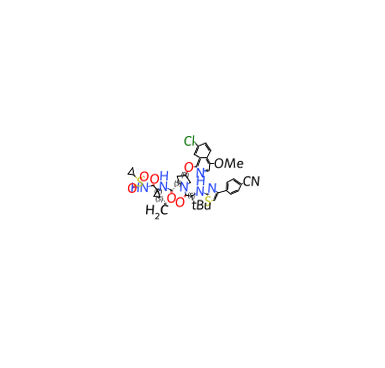 C=C[C@@H]1C[C@]1(NC(=O)[C@@H]1C[C@@H](Oc2ncc(OC)c3ccc(Cl)cc23)CN1C(=O)[C@@H](Nc1nc(-c2ccc(C#N)cc2)cs1)C(C)(C)C)C(=O)NS(=O)(=O)C1CC1